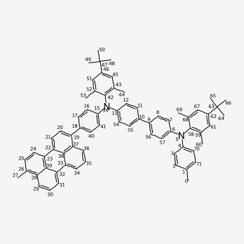 Cc1ccc(N(c2ccc(-c3ccc(N(c4ccc(-c5ccc6c7ccc(C)c8cccc(c9cccc5c96)c87)cc4)c4c(C)cc(C(C)(C)C)cc4C)cc3)cc2)c2c(C)cc(C(C)(C)C)cc2C)cc1